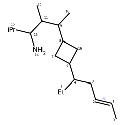 C/C=C/CC(CC)C1CC(C(C)C(C)C(N)C(C)C)C1